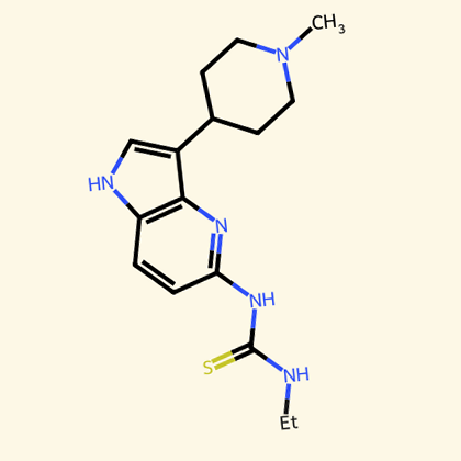 CCNC(=S)Nc1ccc2[nH]cc(C3CCN(C)CC3)c2n1